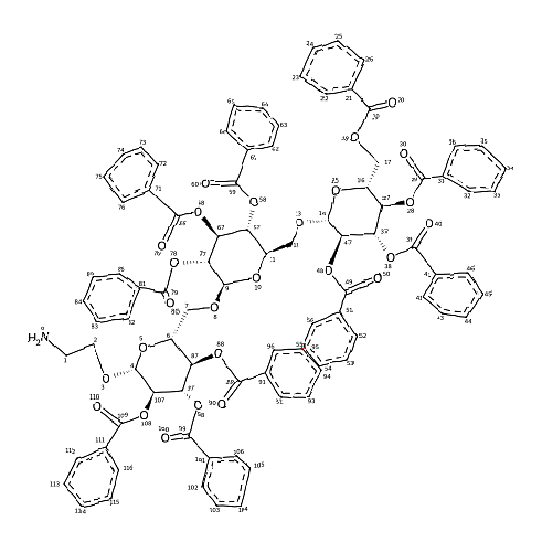 NCCO[C@@H]1O[C@H](CO[C@@H]2O[C@H](CO[C@@H]3O[C@H](COC(=O)c4ccccc4)[C@@H](OC(=O)c4ccccc4)[C@H](OC(=O)c4ccccc4)[C@H]3OC(=O)c3ccccc3)[C@@H](OC(=O)c3ccccc3)[C@H](OC(=O)c3ccccc3)[C@H]2OC(=O)c2ccccc2)[C@@H](OC(=O)c2ccccc2)[C@H](OC(=O)c2ccccc2)[C@H]1OC(=O)c1ccccc1